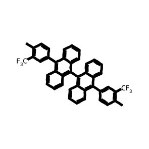 Cc1ccc(-c2c3ccccc3c(-c3c4ccccc4c(-c4ccc(C)c(C(F)(F)F)c4)c4ccccc34)c3ccccc23)cc1C(F)(F)F